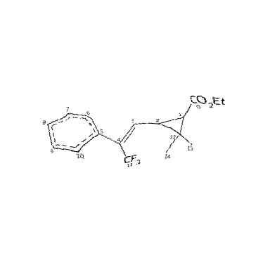 CCOC(=O)C1C(C=C(c2ccccc2)C(F)(F)F)C1(C)C